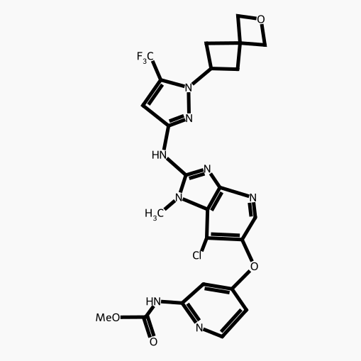 COC(=O)Nc1cc(Oc2cnc3nc(Nc4cc(C(F)(F)F)n(C5CC6(COC6)C5)n4)n(C)c3c2Cl)ccn1